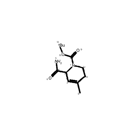 CC1=CC(C(N)=O)N(C(=O)OC(C)(C)C)CC1